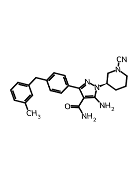 Cc1cccc(Cc2ccc(-c3nn([C@@H]4CCCN(C#N)C4)c(N)c3C(N)=O)cc2)c1